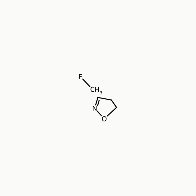 C1=NOCC1.CF